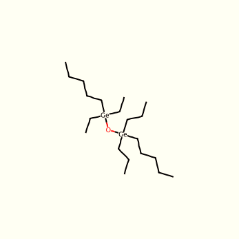 CCCC[CH2][Ge]([CH2]C)([CH2]C)[O][Ge]([CH2]CC)([CH2]CC)[CH2]CCCC